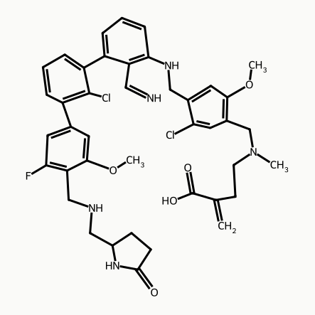 C=C(CCN(C)Cc1cc(Cl)c(CNc2cccc(-c3cccc(-c4cc(F)c(CNCC5CCC(=O)N5)c(OC)c4)c3Cl)c2C=N)cc1OC)C(=O)O